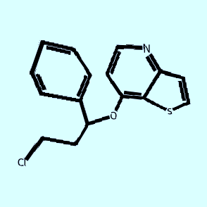 ClCCC(Oc1ccnc2ccsc12)c1ccccc1